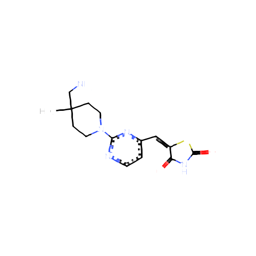 CC1(CN)CCN(c2nccc(C=C3SC(=O)NC3=O)n2)CC1